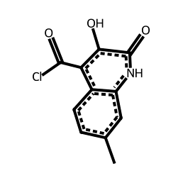 Cc1ccc2c(C(=O)Cl)c(O)c(=O)[nH]c2c1